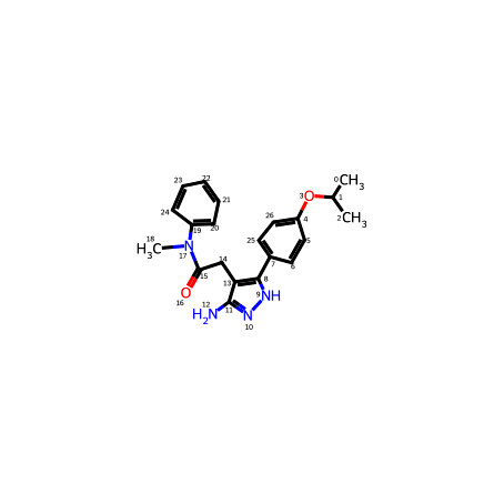 CC(C)Oc1ccc(-c2[nH]nc(N)c2CC(=O)N(C)c2ccccc2)cc1